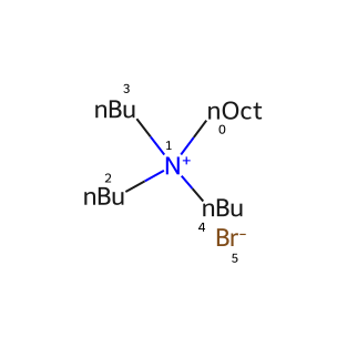 CCCCCCCC[N+](CCCC)(CCCC)CCCC.[Br-]